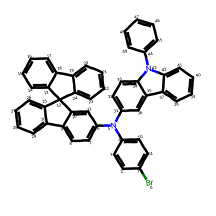 Brc1ccc(N(c2ccc3c(c2)C2(c4ccccc4-c4ccccc42)c2ccccc2-3)c2ccc3c(c2)c2ccccc2n3-c2ccccc2)cc1